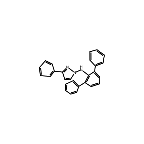 c1ccc(-c2ccn(Nc3c(-c4ccccc4)cccc3-c3ccccc3)n2)cc1